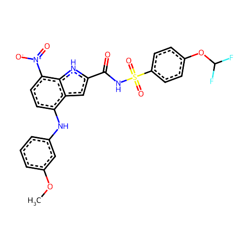 COc1cccc(Nc2ccc([N+](=O)[O-])c3[nH]c(C(=O)NS(=O)(=O)c4ccc(OC(F)F)cc4)cc23)c1